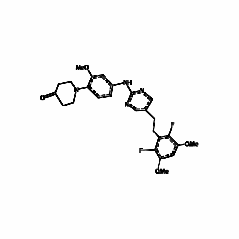 COc1cc(Nc2ncc(CCc3c(F)c(OC)cc(OC)c3F)cn2)ccc1N1CCC(=O)CC1